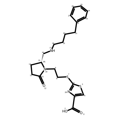 O=C(O)c1csc(SCCN2C(=O)CC[C@@H]2CNCCCCc2ccccc2)n1